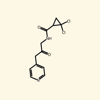 O=C(CNC(=O)C1CC1(Cl)Cl)Cc1ccncc1